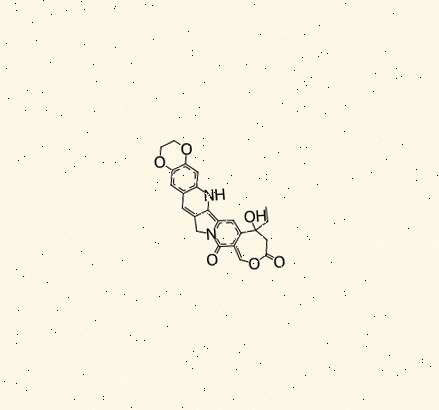 CCC1(O)CC(=O)OC=c2c1cc1n(c2=O)CC2=Cc3cc4c(cc3NC=12)OCCO4